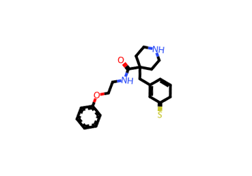 O=C(NCCOc1ccccc1)C1(CC2=CC(=S)CC=C2)CCNCC1